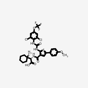 COc1ccc(-c2cc(C(=O)N[C@H](C(=O)O)C3(C)CCCCC3)c(NC(=O)Nc3c(Cl)cc(OC(F)(F)F)cc3Cl)s2)cc1